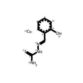 NC(=S)NN=Cc1ccccc1O.[Co]